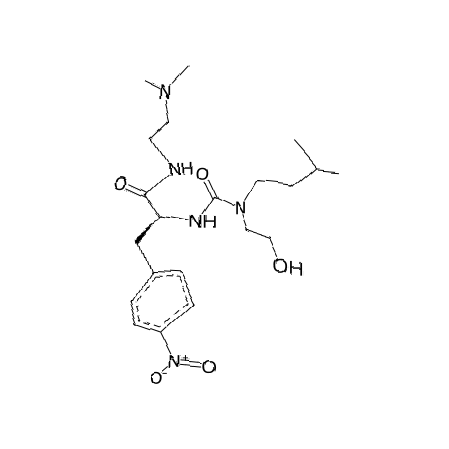 CC(C)CCN(CCO)C(=O)N[C@@H](Cc1ccc([N+](=O)[O-])cc1)C(=O)NCCN(C)C